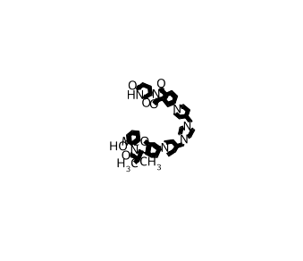 COc1cc(N2CCC(CN3CCN(CC4CCN(c5ccc6c(c5)C(=O)N(C5CCC(=O)NC5=O)C6=O)CC4)CC3)CC2)ccc1[C@@H]1N(c2ccccc2O)C(=O)C1(C)C